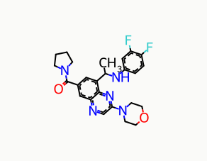 CC(Nc1ccc(F)c(F)c1)c1cc(C(=O)N2CCCC2)cc2ncc(N3CCOCC3)nc12